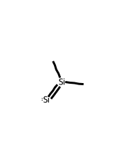 C[Si](C)=[Si]